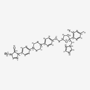 CC[C@H](C)n1cnn(-c2ccc(N3CCN(c4ccc(OCC5COC(Cn6cncn6)(c6ccc(C)cc6F)O5)cc4)CC3)cc2)c1=O